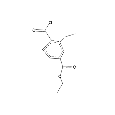 CCOC(=O)c1ccc(C(=O)Cl)c(CC)c1